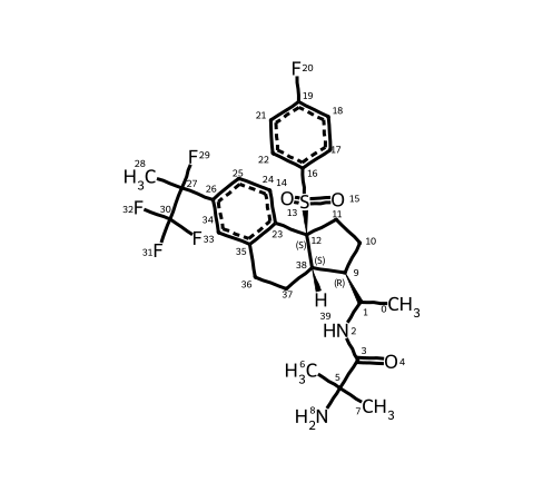 CC(NC(=O)C(C)(C)N)[C@@H]1CC[C@@]2(S(=O)(=O)c3ccc(F)cc3)c3ccc(C(C)(F)C(F)(F)F)cc3CC[C@@H]12